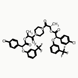 CC(OC(=O)[C@H](Oc1cccc(C(F)(F)F)c1)c1ccc(Cl)cc1)C(=O)N1CCN(C(=O)[C@H](C)OC(=O)[C@H](Oc2cccc(C(F)(F)F)c2)c2ccc(Cl)cc2)CC1